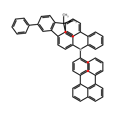 CC1(C)c2ccc(-c3ccccc3)cc2-c2ccc(N(c3ccc(-c4cccc5cccc(-c6ccccc6)c45)cc3)c3ccccc3-c3ccccc3)cc21